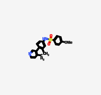 COc1ccc(S(=O)(=O)Nc2ccc(-c3cnccc3C)c(C)c2)cc1